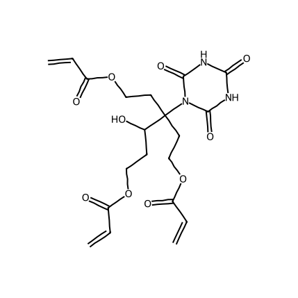 C=CC(=O)OCCC(O)C(CCOC(=O)C=C)(CCOC(=O)C=C)n1c(=O)[nH]c(=O)[nH]c1=O